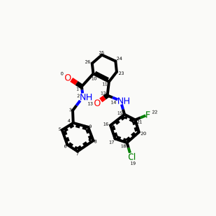 O=C(NCc1ccccc1)C1=C(C(=O)Nc2ccc(Cl)cc2F)CCCC1